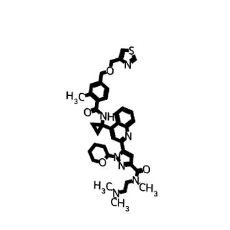 Cc1cc(COCc2cscn2)ccc1C(=O)NC1(c2cc(-c3cc(C(=O)N(C)CCN(C)C)nn3C3CCCCO3)nc3ccccc23)CC1